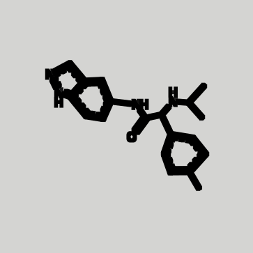 Cc1ccc(C(NC(C)C)C(=O)Nc2ccc3[nH]ncc3c2)cc1